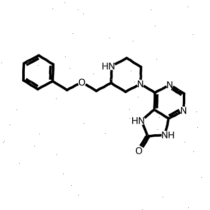 O=c1[nH]c2ncnc(N3CCNC(COCc4ccccc4)C3)c2[nH]1